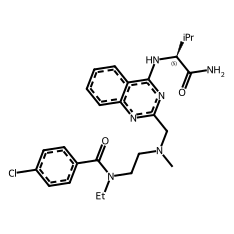 CCN(CCN(C)Cc1nc(N[C@H](C(N)=O)C(C)C)c2ccccc2n1)C(=O)c1ccc(Cl)cc1